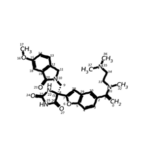 C=C(c1ccc2oc([C@]3(CN4Cc5ccc(OC)cc5C4=O)NC(=O)NC3=O)cc2c1)N(C)CCN(C)C